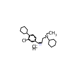 CCN(C/C=C\c1ccc(C2CCCCC2)c(Cl)c1)C1CCCCC1.[Cl-].[H+]